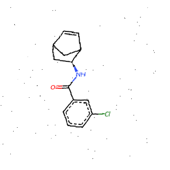 O=C(N[C@H]1CC2C=CC1C2)c1cccc(Cl)c1